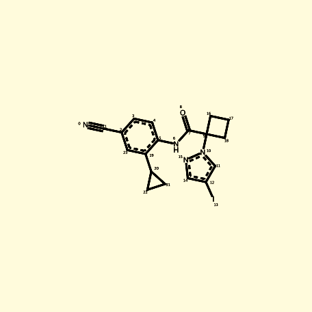 N#Cc1ccc(NC(=O)C2(n3cc(I)cn3)CCC2)c(C2CC2)c1